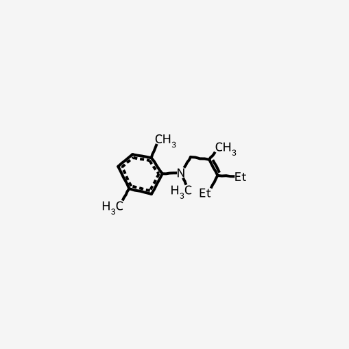 CCC(CC)=C(C)CN(C)c1cc(C)ccc1C